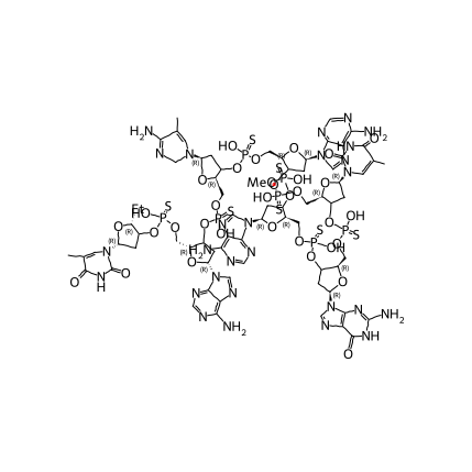 CC[C@H]1O[C@@H](n2cc(C)c(=O)[nH]c2=O)CC1OP(O)(=S)OC[C@H]1O[C@@H](n2cnc3c(N)ncnc32)CC1OP(O)(=S)OC[C@H]1O[C@@H](N2C=C(C)C(N)=NC2)CC1OP(O)(=S)OC[C@H]1O[C@@H](n2cnc3c(N)ncnc32)CC1OP(O)(=S)OC[C@H]1O[C@@H](n2cc(C)c(=O)[nH]c2=O)CC1OP(O)(=S)OC[C@H]1O[C@@H](n2cnc3c(=O)[nH]c(N)nc32)CC1OP(O)(=S)OC[C@H]1O[C@@H](n2cnc3c(N)ncnc32)CC1OP(O)(=S)OC